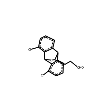 O=CCCC1CC2c3c(Cl)cccc3C1c1cccc(Cl)c12